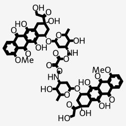 COc1cccc2c1C(=O)c1c(O)c3c(c(O)c1C2=O)C[C@@](O)(C(=O)CO)C[C@@H]3OC1CC(NOC(=O)C(=O)ONC2CC(O[C@H]3C[C@](O)(C(=O)CO)Cc4c(O)c5c(c(O)c43)C(=O)c3c(OC)cccc3C5=O)OC(C)C2O)C(O)C(C)O1